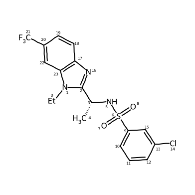 CCn1c([C@@H](C)NS(=O)(=O)c2cccc(Cl)c2)nc2ccc(C(F)(F)F)cc21